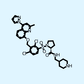 Cc1cc(-n2cccn2)c2cccc(OCc3c(Cl)ccc(S(=O)(=O)N4CCC[C@H]4C(=O)NCC4CCNCC4)c3Cl)c2n1